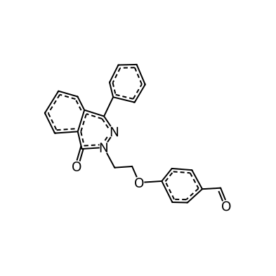 O=Cc1ccc(OCCn2nc(-c3ccccc3)c3ccccc3c2=O)cc1